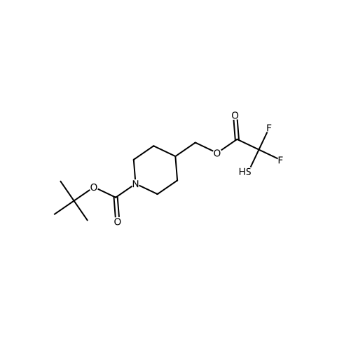 CC(C)(C)OC(=O)N1CCC(COC(=O)C(F)(F)S)CC1